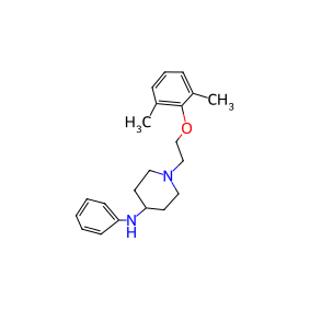 Cc1cccc(C)c1OCCN1CCC(Nc2ccccc2)CC1